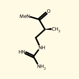 CNC(=O)[C@@H](C)CNC(=N)N